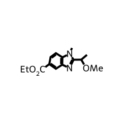 CCOC(=O)c1ccc2c(c1)nc(C(C)OC)n2C